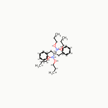 CCCO[N](OCCC)[Hf]([CH2]c1ccccc1)([CH2]c1ccccc1)[N](OCCC)OCCC